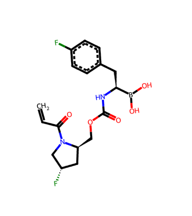 C=CC(=O)N1C[C@@H](F)C[C@@H]1COC(=O)N[C@@H](Cc1ccc(F)cc1)B(O)O